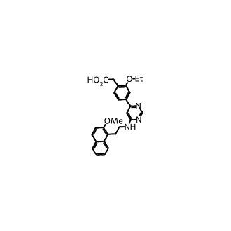 CCOc1cc(-c2cc(NCCc3c(OC)ccc4ccccc34)ncn2)ccc1CC(=O)O